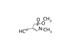 C#CC1=CN(C)P(=O)(OC)C1